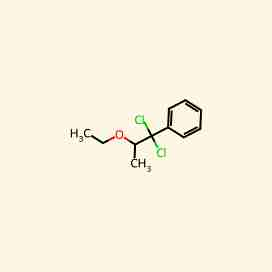 CCOC(C)C(Cl)(Cl)c1ccccc1